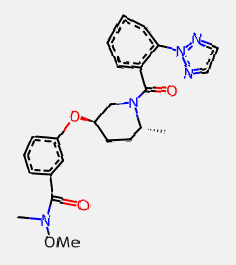 CON(C)C(=O)c1cccc(O[C@@H]2CC[C@@H](C)N(C(=O)c3ccccc3-n3nccn3)C2)c1